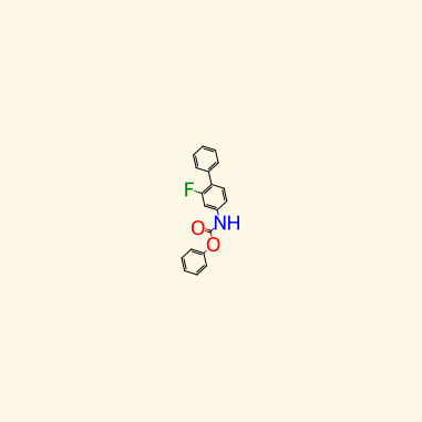 O=C(Nc1ccc(-c2ccccc2)c(F)c1)Oc1ccccc1